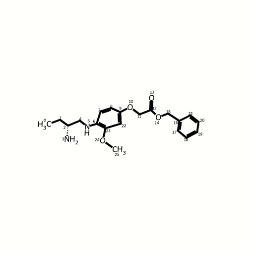 CC[C@@H](N)CNc1ccc(OCC(=O)OCc2ccccc2)cc1OC